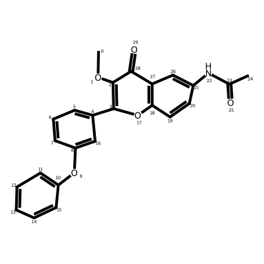 COc1c(-c2cccc(Oc3ccccc3)c2)oc2ccc(NC(C)=O)cc2c1=O